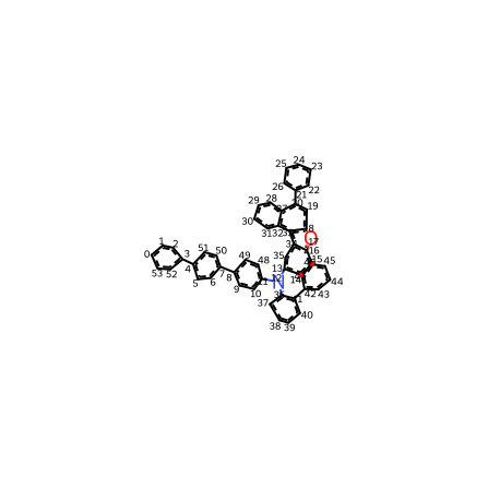 c1ccc(-c2ccc(-c3ccc(N(c4ccc5oc6cc(-c7ccccc7)c7ccccc7c6c5c4)c4ccccc4-c4ccccc4)cc3)cc2)cc1